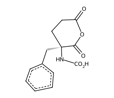 O=C(O)N[C@@]1(Cc2ccccc2)CCC(=O)OC1=O